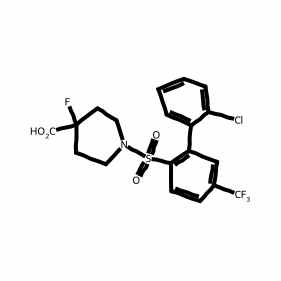 O=C(O)C1(F)CCN(S(=O)(=O)c2ccc(C(F)(F)F)cc2-c2ccccc2Cl)CC1